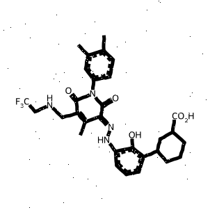 CC1=C(CNCC(F)(F)F)C(=O)N(c2ccc(C)c(C)c2)C(=O)C1=NNc1cccc(C2CCCC(C(=O)O)C2)c1O